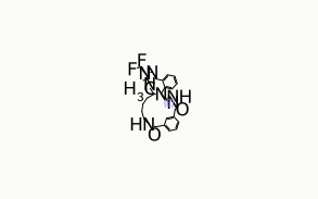 CC1CCCCNC(=O)c2cccc(c2)C(=O)/N=C2\Nc3cccc(-c4ncn(C(F)F)n4)c3N21